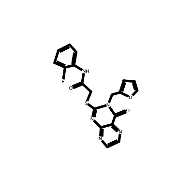 O=C(CSc1nc2nccnc2c(=O)n1Cc1ccco1)Nc1ccccc1F